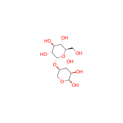 OC[C@H]1O[C@H](O[C@@H]2CO[C@H](O)[C@H](O)[C@H]2O)[C@H](O)[C@@H](O)[C@@H]1O